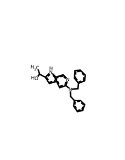 CC(O)c1cc2cc(N(Cc3ccccc3)Cc3ccccc3)ncc2[nH]1